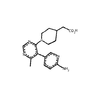 Cc1ncnc(N2CCC(CC(=O)O)CC2)c1-c1ccc(N)nc1